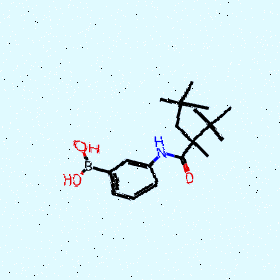 CC(C)(C)CC(C)(C(=O)Nc1cccc(B(O)O)c1)C(C)(C)C